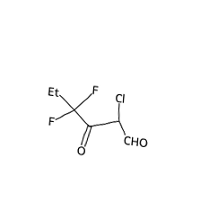 CCC(F)(F)C(=O)C(Cl)C=O